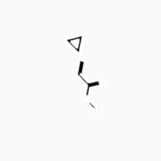 C1CC1.C=CC(=O)OCC